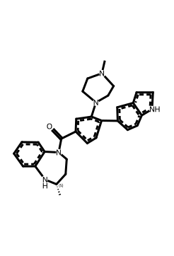 C[C@H]1CCN(C(=O)c2ccc(-c3ccc4[nH]ccc4c3)c(N3CCN(C)CC3)c2)c2ccccc2N1